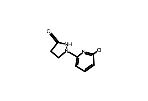 O=C1CCN(c2cccc(Cl)n2)N1